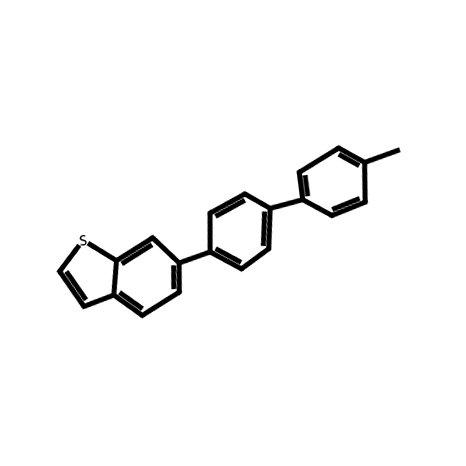 Cc1ccc(-c2ccc(-c3ccc4ccsc4c3)cc2)cc1